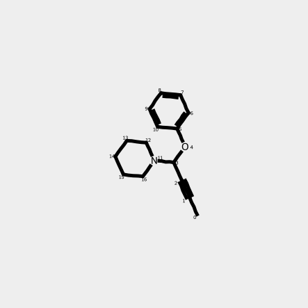 CC#CC(Oc1ccccc1)N1CCCCC1